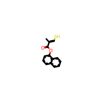 CC(=CS)C(=O)Oc1cccc2ccccc12